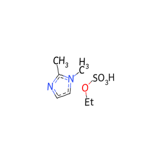 CCOS(=O)(=O)O.Cc1nccn1C